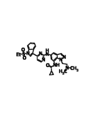 CCS(=O)(=O)n1cc(-c2ccnc(Nc3cc(NC(=O)C4CC4)c4c(cnn4CCN(C)C)c3)n2)c2ccccc21